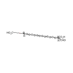 O=[C]CCC(NC(=O)CCOCCOCCOCCOCCOCCOCCOCCOCCOCCOCCOCCOCCNC(=O)CCCCCCCCCCCCC(=O)O)C(=O)O